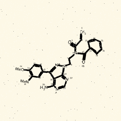 C=CC(=O)N(CCn1nc(-c2ccc(OC)c(NC)c2)c2c(N)ncnc21)C(=O)c1ccccc1